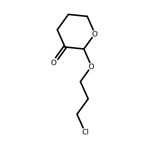 O=C1CCCOC1OCCCCl